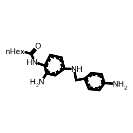 CCCCCCC(=O)Nc1ccc(NCc2ccc(N)cc2)cc1N